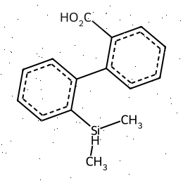 C[SiH](C)c1ccccc1-c1ccccc1C(=O)O